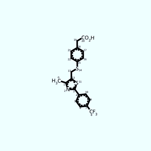 Cc1nc(-c2ccc(C(F)(F)F)cc2)sc1CSc1ccc(CC(=O)O)cc1